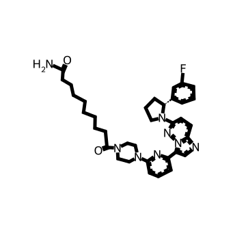 NC(=O)CCCCCCCCC(=O)N1CCN(c2cccc(-c3cnc4ccc(N5CCC[C@@H]5c5cccc(F)c5)nn34)n2)CC1